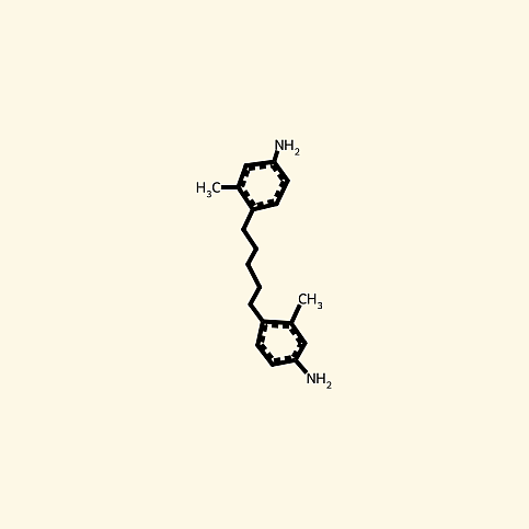 Cc1cc(N)ccc1CCCCCc1ccc(N)cc1C